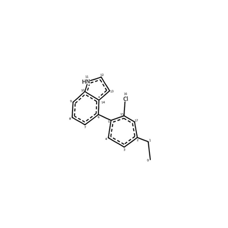 CCc1ccc(-c2cccc3[nH]ccc23)c(Cl)c1